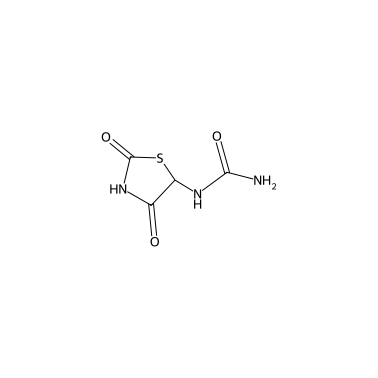 NC(=O)NC1SC(=O)NC1=O